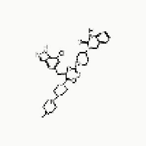 CN1CCN(C2CCN(C(=O)C(Cc3cc(Cl)c4[nH]ncc4c3)OC(=O)N3CCC(N4Cc5ccccc5NC4=O)CC3)CC2)CC1